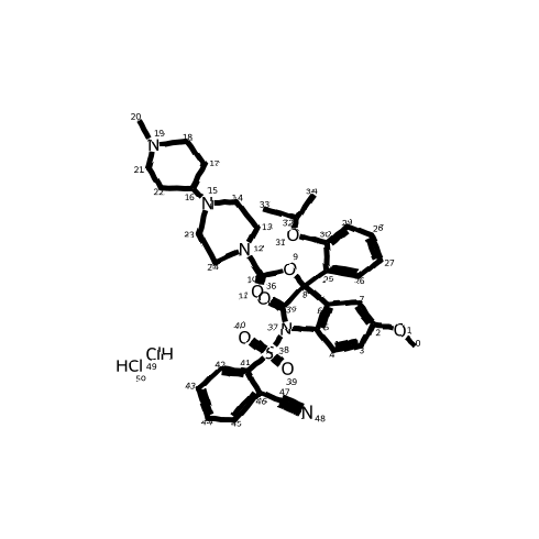 COc1ccc2c(c1)C(OC(=O)N1CCN(C3CCN(C)CC3)CC1)(c1ccccc1OC(C)C)C(=O)N2S(=O)(=O)c1ccccc1C#N.Cl.Cl